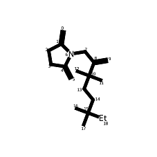 C=C1CCC(=C)N1CC(=C)C(C)(C)CCC(C)(C)CC